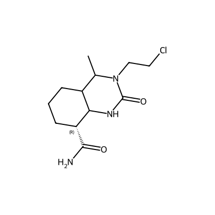 CC1C2CCC[C@@H](C(N)=O)C2NC(=O)N1CCCl